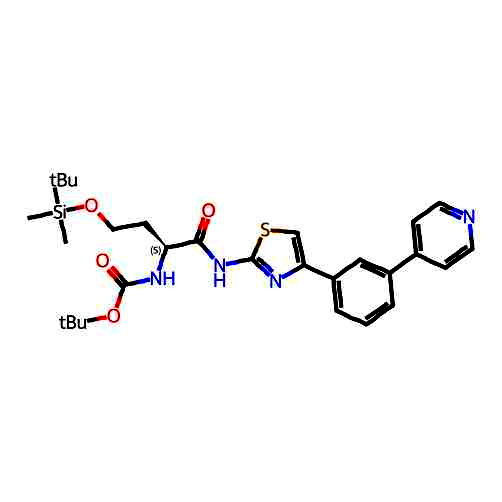 CC(C)(C)OC(=O)N[C@@H](CCO[Si](C)(C)C(C)(C)C)C(=O)Nc1nc(-c2cccc(-c3ccncc3)c2)cs1